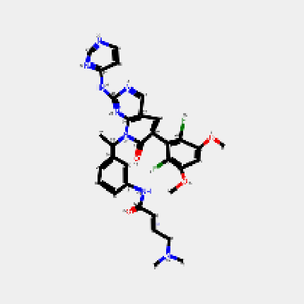 COc1cc(OC)c(F)c(-c2cc3cnc(Nc4ccncn4)nc3n(C(C)c3cccc(NC(=O)/C=C/CN(C)C)c3)c2=O)c1F